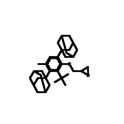 Cc1cc(C23CC4CC(CC(C4)C2)C3)c(OCC2CO2)c(C(C)(C)C)c1C12CC3CC(CC(C3)C1)C2